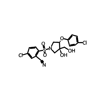 N#Cc1cc(Cl)ccc1S(=O)(=O)N1C[C@H](Oc2ccc(Cl)cc2)[C@](O)(CO)C1